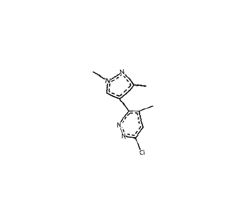 Cc1cc(Cl)nnc1-c1cn(C)nc1C